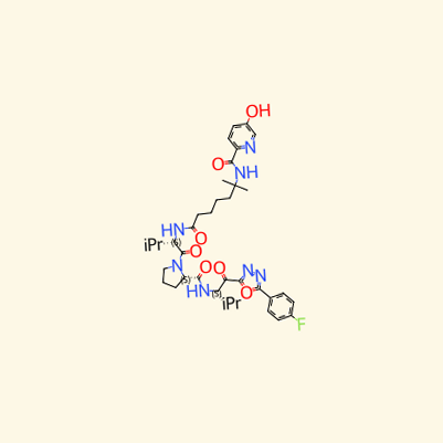 CC(C)[C@H](NC(=O)[C@@H]1CCCN1C(=O)[C@@H](NC(=O)CCCCC(C)(C)NC(=O)c1ccc(O)cn1)C(C)C)C(=O)c1nnc(-c2ccc(F)cc2)o1